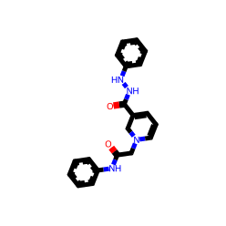 O=C(CN1C=CC=C(C(=O)NNc2ccccc2)C1)Nc1ccccc1